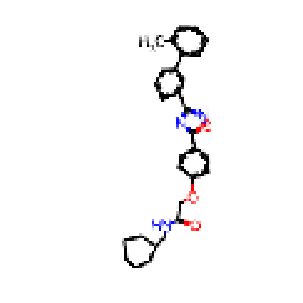 Cc1ccccc1-c1cccc(-c2noc(-c3ccc(OCC(=O)NCC4CCCCC4)cc3)n2)c1